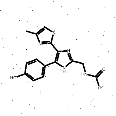 CCCC(=O)NCc1nc(-c2nc(C)cs2)c(-c2ccc(O)cc2)[nH]1